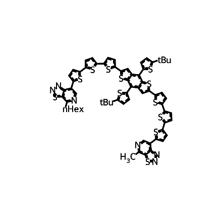 CCCCCCc1ncc(-c2ccc(-c3ccc(-c4ccc(-c5cc6c(-c7ccc(C(C)(C)C)s7)c7sc(-c8ccc(-c9ccc(-c%10ccc(-c%11cnc(C)c%12snnc%11%12)s%10)s9)s8)cc7c(-c7ccc(C(C)(C)C)s7)c6s5)s4)s3)s2)c2nnsc12